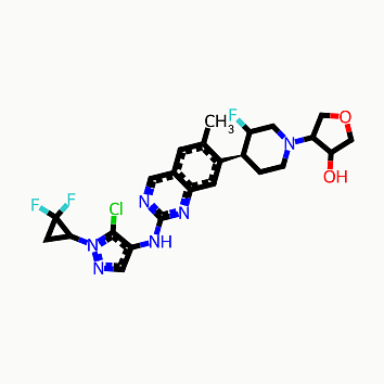 Cc1cc2cnc(Nc3cnn(C4CC4(F)F)c3Cl)nc2cc1[C@@H]1CCN(C2COCC2O)CC1F